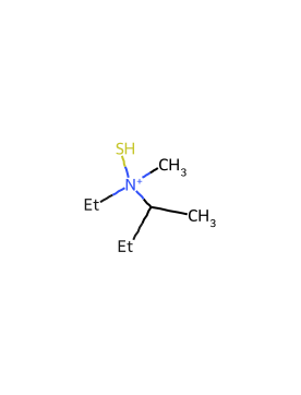 CCC(C)[N+](C)(S)CC